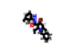 CCc1c(C(=O)Nc2cccc(C)c2C)c(=O)cc(C)n1CC1CCCCC1